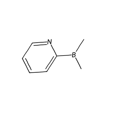 CB(C)c1ccccn1